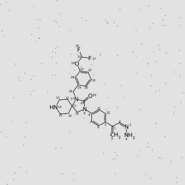 C=C(/C=N\N)c1ccc(N2CC3(CCNCC3)N(Cc3cccc(OC(F)F)c3)C2=O)cc1